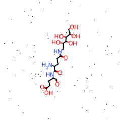 NC(CCC(=O)NCC(O)C(O)C(O)C(O)CO)C(=O)NC(C=O)CCC(=O)O